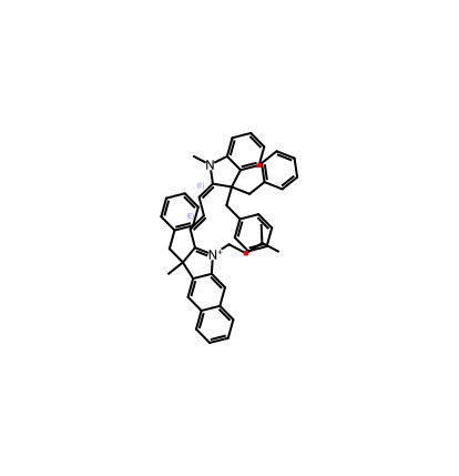 CC(C)CC[N+]1=C(/C=C/C=C2/N(C)c3ccccc3C2(Cc2ccccc2)Cc2ccccc2)C(C)(Cc2ccccc2)c2cc3ccccc3cc21